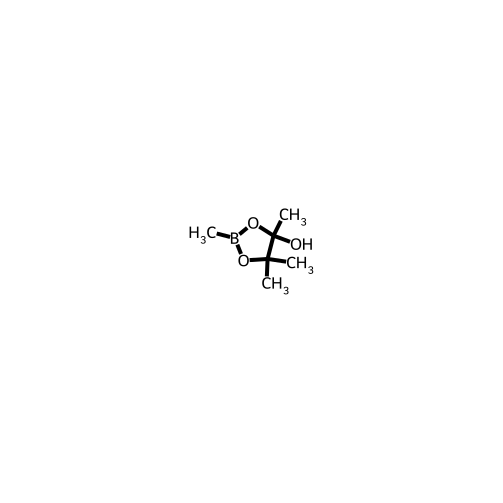 CB1OC(C)(C)C(C)(O)O1